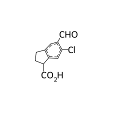 O=Cc1cc2c(cc1Cl)C(C(=O)O)CC2